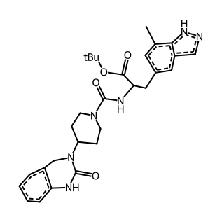 Cc1cc(CC(NC(=O)N2CCC(N3Cc4ccccc4NC3=O)CC2)C(=O)OC(C)(C)C)cc2cn[nH]c12